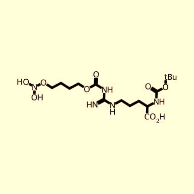 CC(C)(C)OC(=O)NC(CCCNC(=N)NC(=O)OCCCCON(O)O)C(=O)O